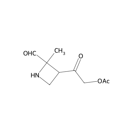 CC(=O)OCC(=O)C1CNC1(C)C=O